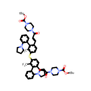 CC(C)(C)OC(=O)N1CCN(C(=O)/C=C/c2ccc(Sc3ccc(/C=C/C(=O)N4CCN(C(=O)OC(C)(C)C)CC4)c(-c4ccccc4N4CCCC4)c3C(F)(F)F)c(C(F)(F)F)c2-c2ccccc2N2CCCC2)CC1